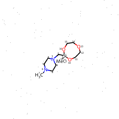 CO[Si]1(CN2CCN(C)CC2)OCCOCCO1